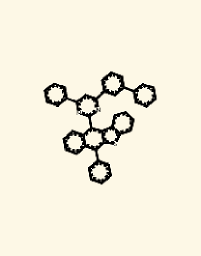 c1ccc(-c2cccc(-c3cc(-c4ccccc4)nc(-c4c5ccccc5c(-c5ccccc5)c5sc6ccccc6c45)n3)c2)cc1